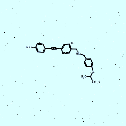 CCCCc1ccc(C#Cc2ccc(CNCc3ccc(OC(C)C(=O)O)cc3)cc2)cc1.Cl